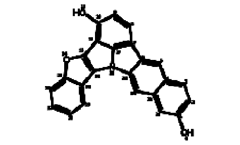 Oc1ccc2cc3c4ccc(O)c5c6oc7ccccc7c6n(c3cc2c1)c45